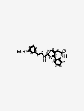 COc1cccc(CCNc2ncc3c(n2)-c2ccccc2NC(=O)C3)c1